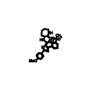 COc1ccc(-c2nc3c4cccc(S(C)(=N)=O)c4nc(N[C@@H]4CCCCNC4=O)n3n2)cc1